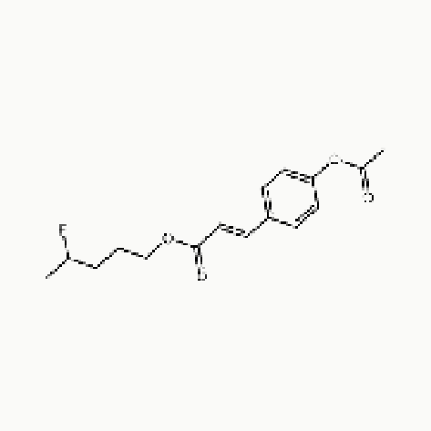 CC(=O)Oc1ccc(/C=C/C(=O)OCCCC(C)F)cc1